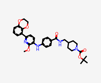 COc1nc(-c2cccc3c2OCCO3)ccc1Nc1ccc(C(=O)NCC2CCN(C(=O)OC(C)(C)C)CC2)cc1